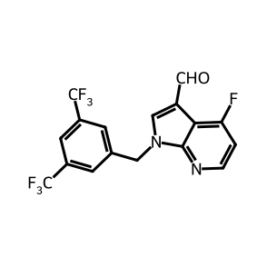 O=Cc1cn(Cc2cc(C(F)(F)F)cc(C(F)(F)F)c2)c2nccc(F)c12